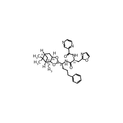 CC1(C)[C@@H]2C[C@H]3OB([C@H](CCCc4ccccc4)NC(=O)[C@H](Cc4ncco4)NC(=O)c4cnccn4)O[C@@]3(C)[C@H]1C2